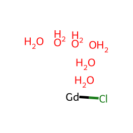 O.O.O.O.O.O.[Cl][Gd]